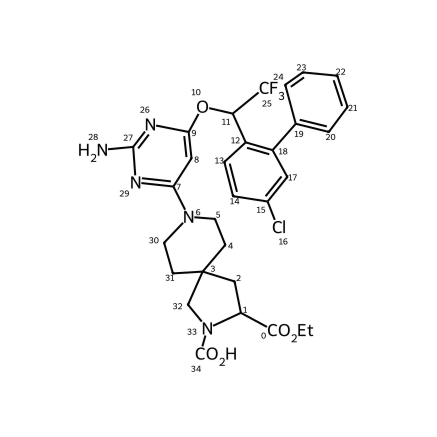 CCOC(=O)C1CC2(CCN(c3cc(OC(c4ccc(Cl)cc4-c4ccccc4)C(F)(F)F)nc(N)n3)CC2)CN1C(=O)O